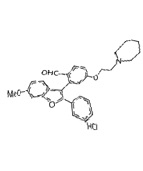 COc1ccc2c(-c3cc(OCCN4CCCCC4)ccc3C=O)c(-c3ccccc3)oc2c1.Cl